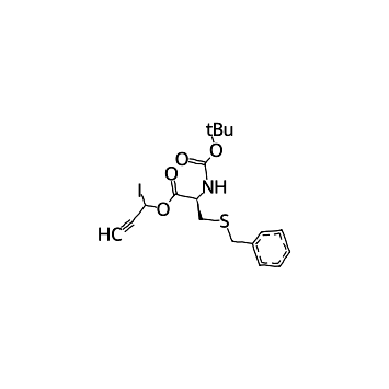 C#CC(I)OC(=O)[C@H](CSCc1ccccc1)NC(=O)OC(C)(C)C